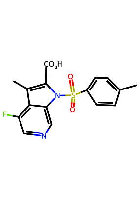 Cc1ccc(S(=O)(=O)n2c(C(=O)O)c(C)c3c(F)cncc32)cc1